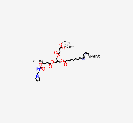 CCCCC/C=C\C/C=C\CCCCCCCC(=O)OCC(COC(=O)CCC(CCCCCC)OC(=O)NCCN1CCCC1)COC(=O)CCC(OCCCCCCCC)OCCCCCCCC